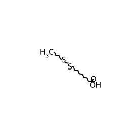 CCCCCSCCSCCCCCCCCC(=O)O